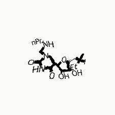 CCCNCn1cc(C2O[C@H](CC(C)(I)CC)[C@@H](O)[C@H]2O)c(=O)[nH]c1=O